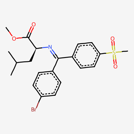 COC(=O)[C@H](CC(C)C)/N=C(\c1ccc(Br)cc1)c1ccc(S(C)(=O)=O)cc1